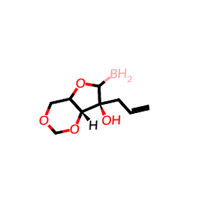 BC1OC2COCO[C@H]2[C@@]1(O)CC=C